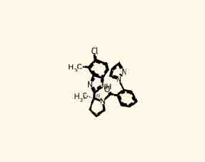 Cc1c(Cl)ccc2[nH]c([C@]3(C)CCCN3C(=O)c3ccccc3-n3cccn3)nc12